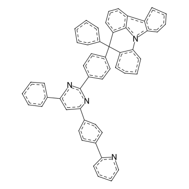 c1ccc(-c2cc(-c3ccc(-c4ccccn4)cc3)nc(-c3ccc(C4(c5ccccc5)c5ccccc5-n5c6ccccc6c6cccc4c65)cc3)n2)cc1